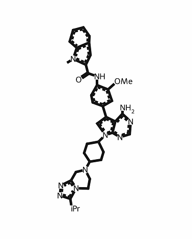 COc1cc(-c2cn(C3CCC(N4CCn5c(nnc5C(C)C)C4)CC3)c3ncnc(N)c23)ccc1NC(=O)c1cc2ccccc2n1C